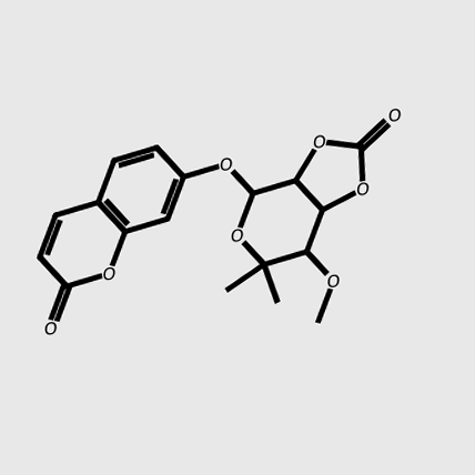 COC1C2OC(=O)OC2C(Oc2ccc3ccc(=O)oc3c2)OC1(C)C